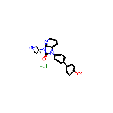 Cl.O=c1n(-c2ccc(-c3ccc(O)cc3)cc2)c2cccnc2n1[C@H]1CCNC1